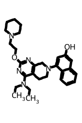 CCN(CC)c1nc(OCCN2CCCCC2)nc2c1CCN(c1cc(O)cc3ccccc13)C2